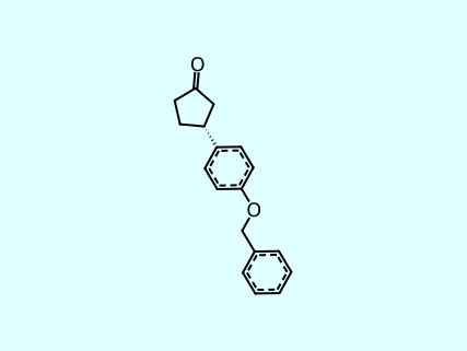 O=C1CC[C@@H](c2ccc(OCc3ccccc3)cc2)C1